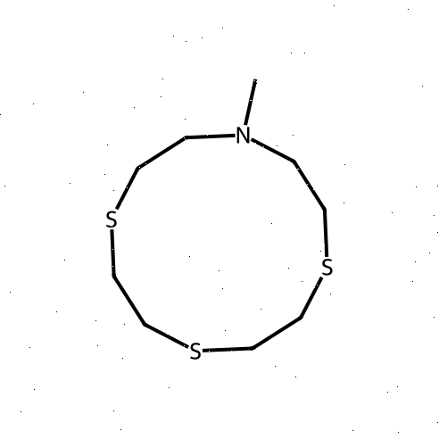 CN1CCSCCSCCSCC1